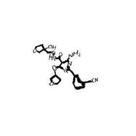 N#Cc1cccc(-c2nc(N)c(C(=O)NOC[C@@]3(O)CCOC3)c(O[C@H]3CCOC3)n2)c1